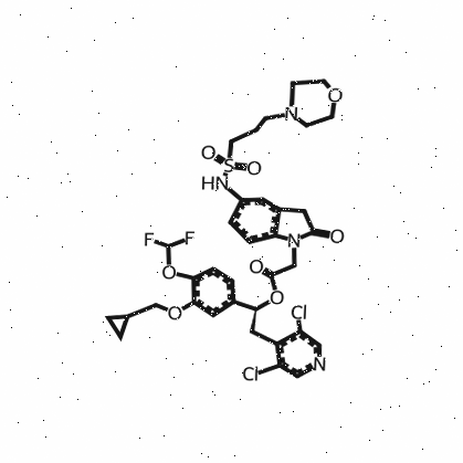 O=C(CN1C(=O)Cc2cc(NS(=O)(=O)CCCN3CCOCC3)ccc21)O[C@@H](Cc1c(Cl)cncc1Cl)c1ccc(OC(F)F)c(OCC2CC2)c1